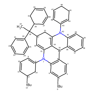 CC(C)(C)c1ccc2c(c1)N(C1=CC=CC(C(C)(C)C)C1)C1=CC(C(C)(c3ccccc3)C3C=CC=CC3)CC3=C1B2c1ccccc1N3C1=CCCC=C1